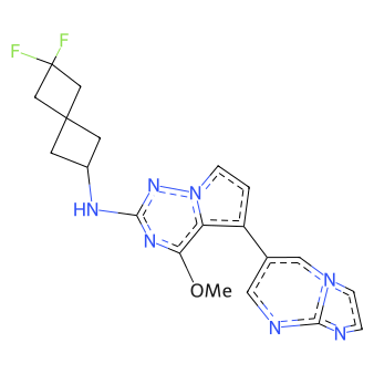 COc1nc(NC2CC3(C2)CC(F)(F)C3)nn2ccc(-c3cnc4nccn4c3)c12